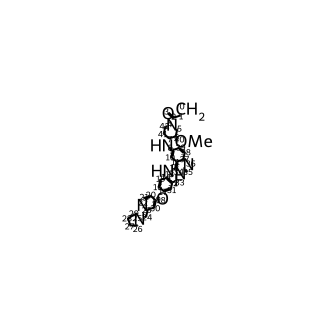 C=CC(=O)N1CCC(Nc2cc3c(Nc4ccc(Oc5ccnc(CN6CCCC6)c5)cc4F)ncnc3cc2OC)CC1